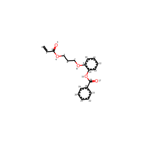 C=CC(=O)OCCCOc1ccccc1OC(=O)c1ccccc1